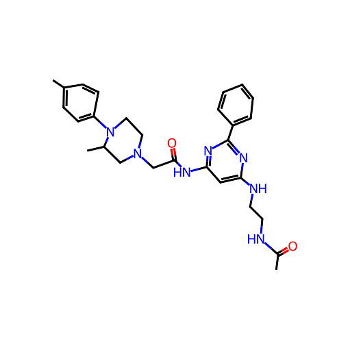 CC(=O)NCCNc1cc(NC(=O)CN2CCN(c3ccc(C)cc3)C(C)C2)nc(-c2ccccc2)n1